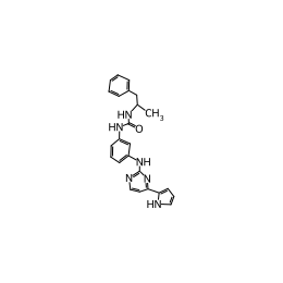 CC(Cc1ccccc1)NC(=O)Nc1cccc(Nc2nccc(-c3ccc[nH]3)n2)c1